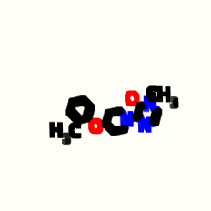 Cc1ccccc1OC1CCN(c2nccn(C)c2=O)CC1